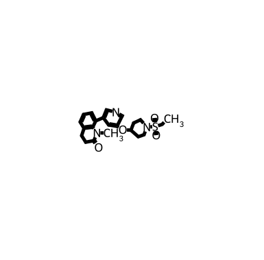 CCS(=O)(=O)N1CCC(Oc2cncc(-c3cccc4c3N(C)C(=O)CC4)c2)CC1